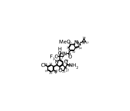 COc1cc(C(=O)NCC(O)(c2cc3c(c(-c4cc(Cl)ccc4F)n2)OC[C@]3(C)C(N)=O)C(F)(F)F)cc2cn(C3CC3)nc12